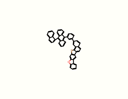 c1cc(-c2ccc3ccc4c5cc6c(cc5sc4c3c2)oc2ccccc26)cc(-c2c3ccccc3c(-c3cccc4ccccc34)c3ccccc23)c1